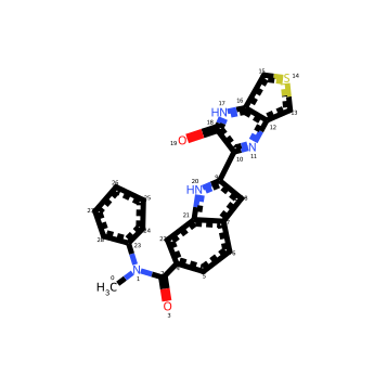 CN(C(=O)c1ccc2cc(-c3nc4cscc4[nH]c3=O)[nH]c2c1)c1ccccc1